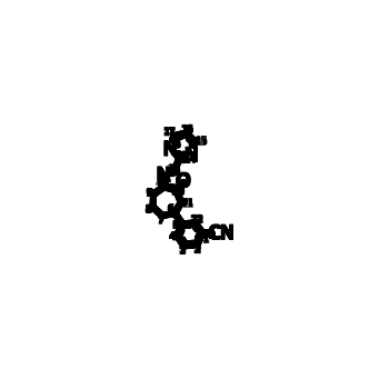 N#Cc1cccc(C2CCCc3nc(-c4ncccn4)oc3C2)c1